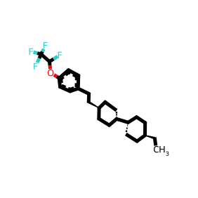 CC[C@H]1CC[C@H]([C@H]2CC[C@H](CCc3ccc(OC(F)C(F)(F)F)cc3)CC2)CC1